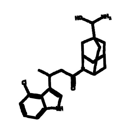 CC(CC(=O)N1C2CC3CC1CC(C(N)O)(C3)C2)c1c[nH]c2cccc(Cl)c12